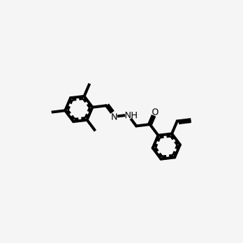 C=Cc1ccccc1C(=O)CNN=Cc1c(C)cc(C)cc1C